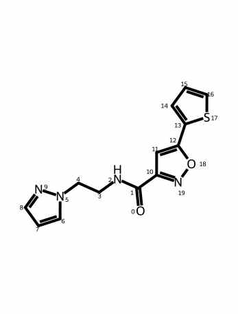 O=C(NCCn1cccn1)c1cc(-c2cccs2)on1